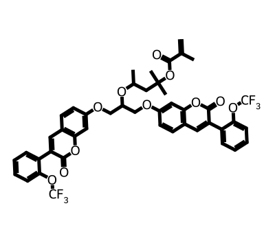 C=C(C)C(=O)OC(C)(C)CC(C)OC(COc1ccc2cc(-c3ccccc3OC(F)(F)F)c(=O)oc2c1)COc1ccc2cc(-c3ccccc3OC(F)(F)F)c(=O)oc2c1